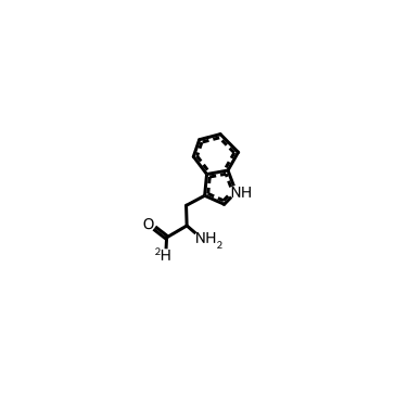 [2H]C(=O)C(N)Cc1c[nH]c2ccccc12